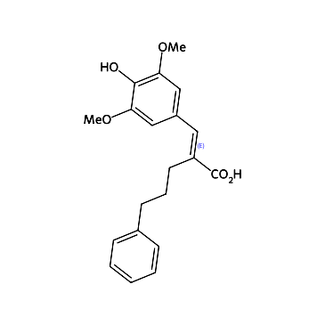 COc1cc(/C=C(\CCCc2ccccc2)C(=O)O)cc(OC)c1O